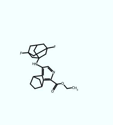 CCOC(=O)c1ncc(NC23CC4CC(F)(CC(F)(C4)C2)C3)c2c1C1CCC2C1